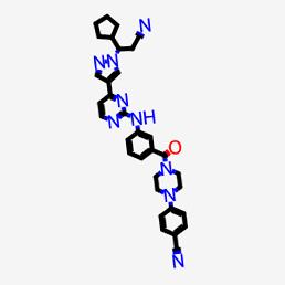 N#CCC(C1CCCC1)n1cc(-c2ccnc(Nc3cccc(C(=O)N4CCN(c5ccc(C#N)cc5)CC4)c3)n2)cn1